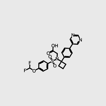 O=C(O)CN(C1(c2ccc(-c3cncnc3)cc2)CCC1)S(=O)(=O)c1ccc(OC(F)F)cc1